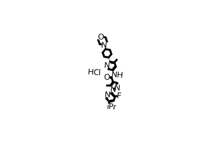 Cc1cc(NC(=O)c2cnn(-c3ncc(C(C)C)cc3F)c2C)cnc1[C@H]1CC[C@H](N2CCOCC2)CC1.Cl